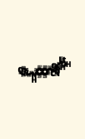 CCC(O)CNS(=O)(=O)/C(C#N)=C/c1ccc2cc(NCCN3CCOCC3)ccc2c1